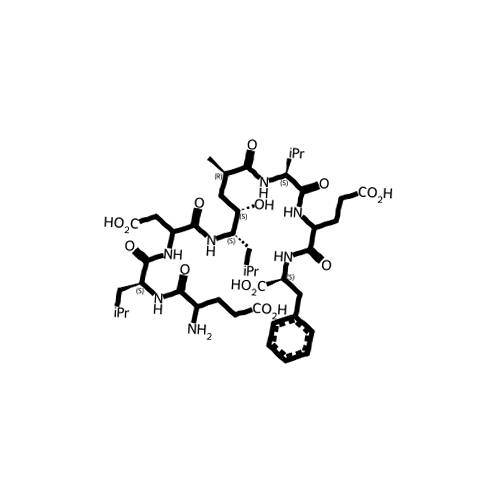 CC(C)C[C@H](NC(=O)C(N)CCC(=O)O)C(=O)NC(CC(=O)O)C(=O)N[C@@H](CC(C)C)[C@@H](O)C[C@@H](C)C(=O)N[C@H](C(=O)NC(CCC(=O)O)C(=O)N[C@@H](Cc1ccccc1)C(=O)O)C(C)C